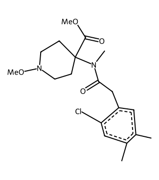 COC(=O)C1(N(C)C(=O)Cc2cc(C)c(C)cc2Cl)CCN(OC)CC1